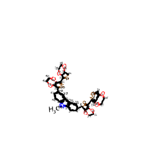 Cn1c2ccc(-c3sc(-c4scc5c4OCCO5)c4c3OCCO4)cc2c2cc(-c3sc(-c4scc5c4OCCO5)c4c3OCCO4)ccc21